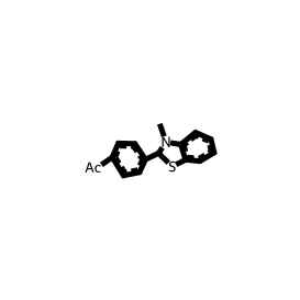 CC(=O)c1ccc(C2Sc3ccccc3N2C)cc1